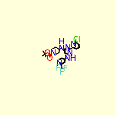 CC(C)(C)OC(=O)N1CCC(Nc2cc(Nc3ccnc(C(F)(F)F)c3)nc(-c3cccc(Cl)n3)n2)CC1